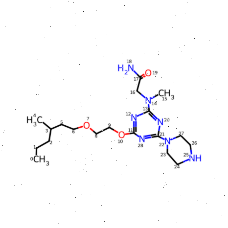 CCCC(C)CCOCCOc1nc(N(C)CC(N)=O)nc(N2CCNCC2)n1